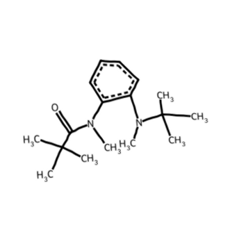 CN(C(=O)C(C)(C)C)c1ccccc1N(C)C(C)(C)C